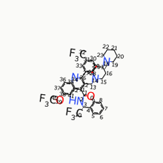 O=C(N[C@H](c1ccccc1)C(F)(F)F)c1c(CN2CCC(N3CCCCC3)CC2)c(-c2cccc(C(F)(F)F)c2)nc2ccc(OC(F)(F)F)cc12